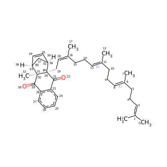 CC(C)=CCC/C(C)=C/CC/C(C)=C/CCC(C)=CC[C@]12C(=O)c3ccccc3C(=O)[C@@]1(C)[C@H]1C=C[C@@H]2C1